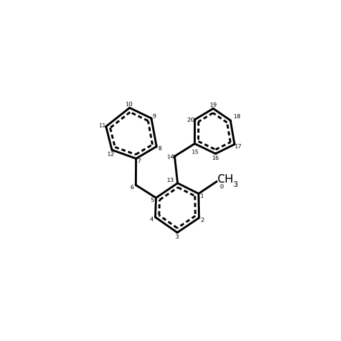 Cc1cccc(Cc2ccccc2)c1Cc1ccccc1